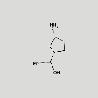 CC(C)C(O)N1CC[C@@H](N)C1